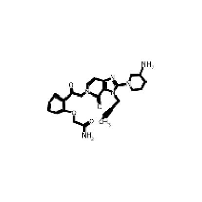 CC#CCn1c(N2CCCC(N)C2)nc2ccn(CC(=O)c3ccccc3OCC(N)=O)c(=O)c21